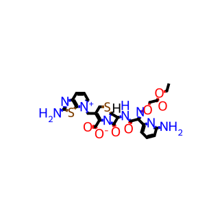 CCOC(=O)CON=C(C(=O)NC1C(=O)N2C(C(=O)[O-])=C(C[n+]3cccc4nc(N)sc43)CS[C@@H]12)c1cccc(N)n1